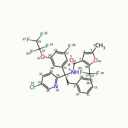 Cc1cc(C(=O)N[C@@](Cc2ccccc2)(c2cc(F)cc(OC(F)(F)C(F)F)c2)c2ccc(Cl)cn2)c(C(F)(F)F)o1